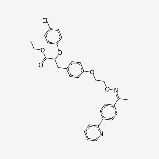 CCOC(=O)C(Cc1ccc(OCCON=C(C)c2ccc(-c3ccccn3)cc2)cc1)Oc1ccc(Cl)cc1